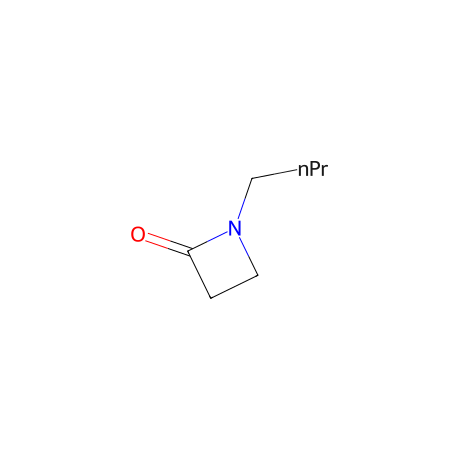 CCCCN1CCC1=O